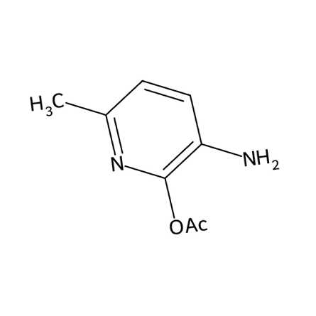 CC(=O)Oc1nc(C)ccc1N